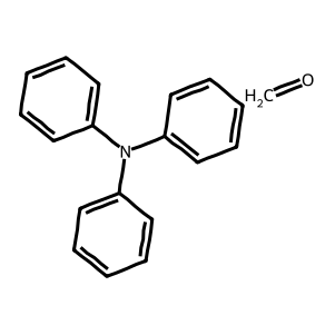 C=O.c1ccc(N(c2ccccc2)c2ccccc2)cc1